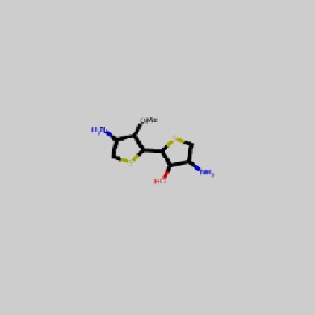 COC1C(N)CSC1C1SCC(N)C1O